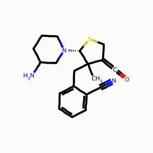 CC1(Cc2ccccc2C#N)C(=C=O)CS[C@H]1N1CCCC(N)C1